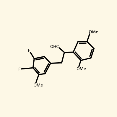 COc1ccc(OC)c(C(C=O)Cc2cc(F)c(F)c(OC)c2)c1